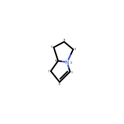 C1=CN2CCCC2C1